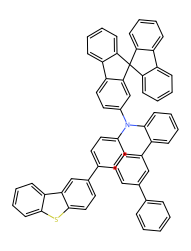 c1ccc(-c2cccc(-c3ccccc3N(c3ccc(-c4ccc5sc6ccccc6c5c4)cc3)c3ccc4c(c3)C3(c5ccccc5-c5ccccc53)c3ccccc3-4)c2)cc1